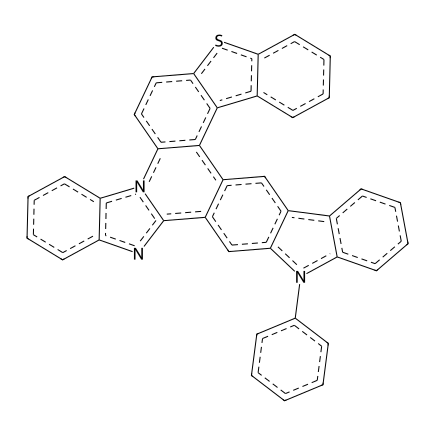 c1ccc(-n2c3ccccc3c3cc4c(cc32)c2nc3ccccc3n2c2ccc3sc5ccccc5c3c42)cc1